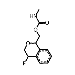 CNC(=O)OCC1OCC(F)c2ccccc21